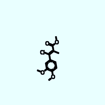 COC(=O)/C(C)=C(\Cl)c1ccc(OC)c(OC)c1